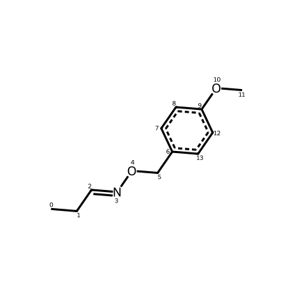 CC/C=N/OCc1ccc(OC)cc1